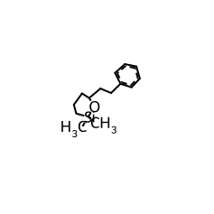 C[Si]1(C)CCCC(CCc2ccccc2)O1